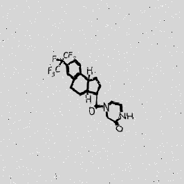 O=C1CN(C(=O)[C@@H]2CC[C@H]3c4ccc(C(F)(C(F)(F)F)C(F)(F)F)cc4CC[C@@H]23)CCN1